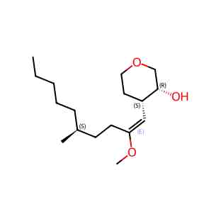 CCCCC[C@H](C)CC/C(=C\[C@@H]1CCOC[C@@H]1O)OC